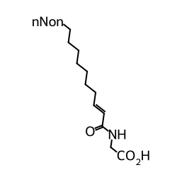 CCCCCCCCCCCCCCCCC=CC(=O)NCC(=O)O